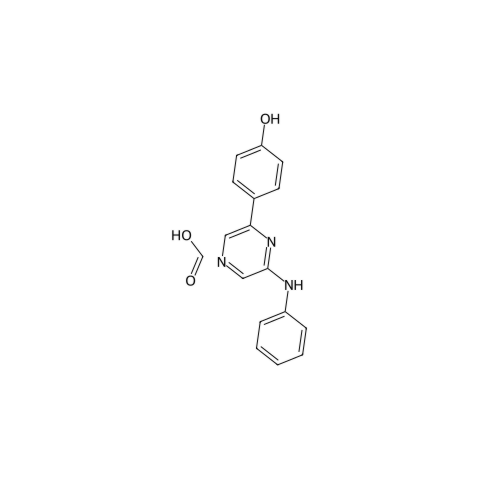 O=CO.Oc1ccc(-c2cncc(Nc3ccccc3)n2)cc1